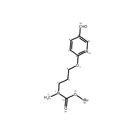 CN(CCCOc1ccc(C=O)cn1)C(=O)OC(C)(C)C